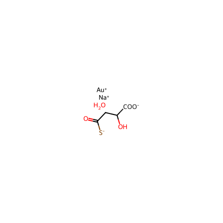 O.O=C([S-])CC(O)C(=O)[O-].[Au+].[Na+]